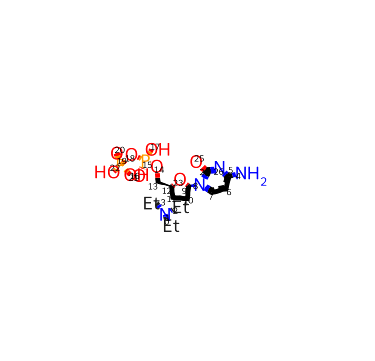 CCN(CC)CC.Nc1ccn([C@H]2CC[C@@H](COP(=O)(O)OP(=O)(O)O)O2)c(=O)n1